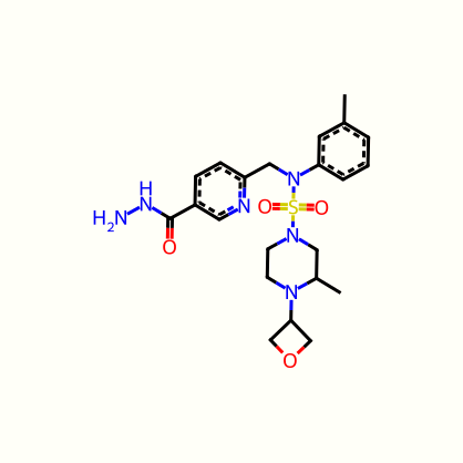 Cc1cccc(N(Cc2ccc(C(=O)NN)cn2)S(=O)(=O)N2CCN(C3COC3)C(C)C2)c1